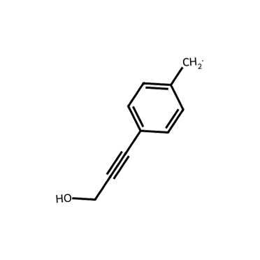 [CH2]c1ccc(C#CCO)cc1